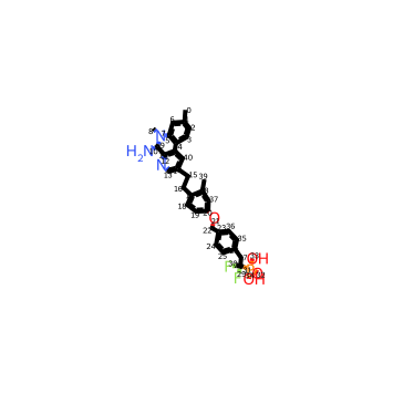 Cc1ccc2c(c1)N(C)C(N)c1ncc(CCc3ccc(OCc4ccc(CC(F)(F)P(=O)(O)O)cc4)cc3C)cc1-2